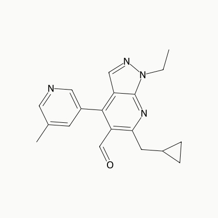 CCn1ncc2c(-c3cncc(C)c3)c(C=O)c(CC3CC3)nc21